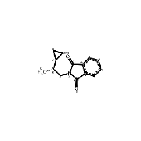 C[C@@H](CN1C(=O)c2ccccc2C1=O)C1CC1